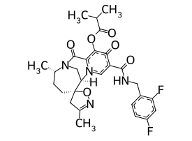 CC1=NO[C@@]2(CC[C@H](C)N3C[C@H]2n2cc(C(=O)NCc4ccc(F)cc4F)c(=O)c(OC(=O)C(C)C)c2C3=O)C1